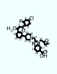 CC1=CC(c2ccc(Cl)cc2F)Oc2c1cccc2C1CCN(Cc2nc3ccc(C(=O)O)cc3n2CC2CCO2)CC1